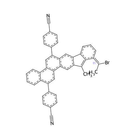 CC1=c2c(ccc/c2=C(/C)Br)-c2cc3c(-c4ccc(C#N)cc4)cc4c5ccccc5c(-c5ccc(C#N)cc5)cc4c3cc21